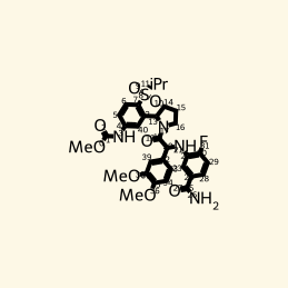 COC(=O)Nc1ccc(S(=O)(=O)C(C)C)c(C2CCCN2C(=O)C(Nc2cc(C(N)=O)ccc2F)c2ccc(OC)c(OC)c2)c1